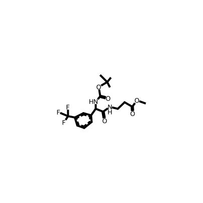 COC(=O)CCNC(=O)C(NC(=O)OC(C)(C)C)c1cccc(C(F)(F)F)c1